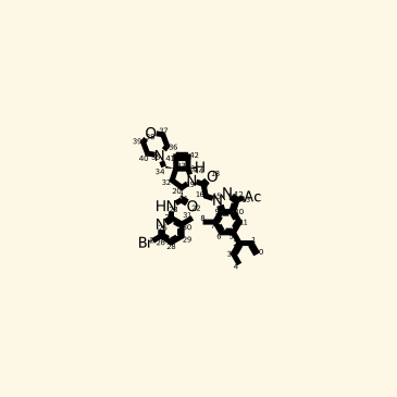 C=C/C(=C\C)c1cc(C)c2c(c1)c(C(C)=O)nn2CC(=O)N1[C@H](C(=O)Nc2nc(Br)ccc2C)C[C@@]2(CN3CCOCC3)C#C[C@@H]12